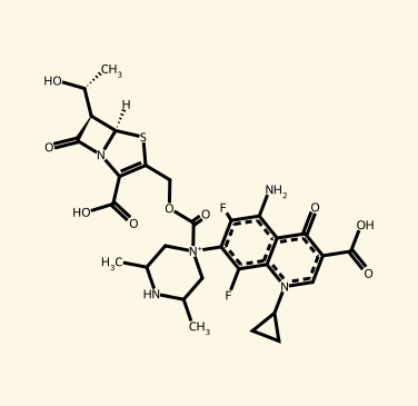 CC1C[N+](C(=O)OCC2=C(C(=O)O)N3C(=O)[C@@H]([C@@H](C)O)[C@H]3S2)(c2c(F)c(N)c3c(=O)c(C(=O)O)cn(C4CC4)c3c2F)CC(C)N1